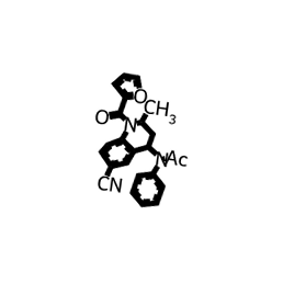 CC(=O)N(c1ccccc1)C1CC(C)N(C(=O)c2ccco2)c2ccc(C#N)cc21